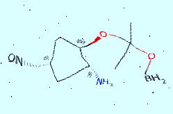 BOC(C)(C)O[C@@H]1C[C@@H](N=O)C[C@H]1N